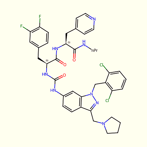 CCCNC(=O)[C@H](Cc1ccncc1)NC(=O)[C@H](Cc1ccc(F)c(F)c1)NC(=O)Nc1ccc2c(CN3CCCC3)nn(Cc3c(Cl)cccc3Cl)c2c1